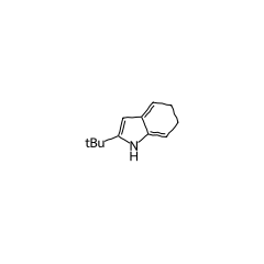 CC(C)(C)c1cc2c([nH]1)=CCCC=2